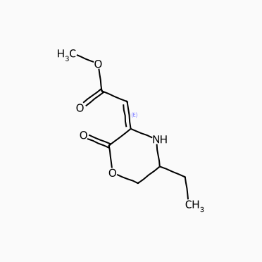 CCC1COC(=O)/C(=C\C(=O)OC)N1